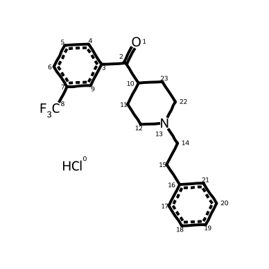 Cl.O=C(c1cccc(C(F)(F)F)c1)C1CCN(CCc2ccccc2)CC1